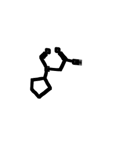 O=CN(CC(=O)O)C1CCCC1